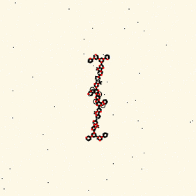 CC1(C)c2cc(-c3cc(-c4ccccc4)cc(-c4cccc(-c5ccccc5)c4)c3)ccc2-c2ccc(-c3ccc4c(c3)C(C)(C)c3cc(-c5cc6oc7cc8c(cc7c6c6c5oc5ccccc56)oc5cc(-c6ccc7c(c6)C(C)(C)c6cc(-c9ccc%10c(c9)C(C)(C)c9cc(-c%11cc(-c%12ccccc%12)cc(-c%12cccc(-c%13ccccc%13)c%12)c%11)ccc9-%10)ccc6-7)c6oc7ccccc7c6c58)ccc3-4)cc21